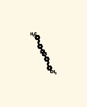 Cc1ccc(/C=C/c2ccc(-c3cc4sc(-c5ccc(/C=C/c6ccc(C)cc6)cc5)cc4s3)cc2)cc1